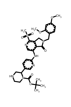 COc1ccc(CN2Cc3c(S(C)(=O)=O)ncc(Nc4ccc(C5CNCCN5C(=O)OC(C)(C)C)cn4)c3C2=O)c(OC)c1